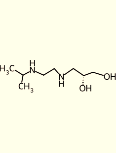 CC(C)NCCNC[C@@H](O)CO